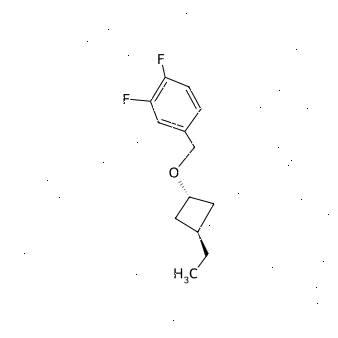 CC[C@H]1C[C@H](OCc2ccc(F)c(F)c2)C1